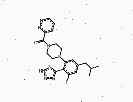 CC(C)Cc1cc(F)c(-c2nn[nH]n2)c(N2CCN(C(=O)c3cccnn3)CC2)c1